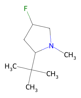 CN1CC(F)CC1C(C)(C)C